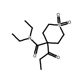 CCC(=O)C1(C(=O)N(CC)CC)CCS(=O)(=O)CC1